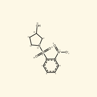 O=[N+]([O-])c1ccccc1S(=O)(=O)N1CCC(O)C1